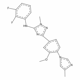 COc1cc(-c2nc(Nc3cccc(F)c3F)n(C)n2)ccc1-n1cnc(C)c1